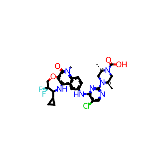 C[C@@H]1CN(C(=O)O)[C@@H](C)CN1c1ncc(Cl)c(Nc2ccc3c(c2)c2c(c(=O)n3C)OCC(F)(F)C(C3CC3)N2)n1